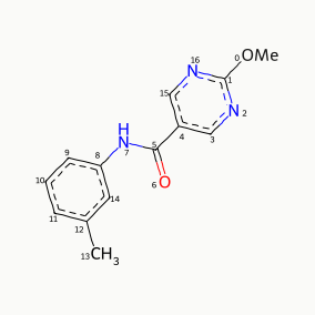 COc1ncc(C(=O)Nc2cccc(C)c2)cn1